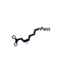 CCCCCCCC/C=C\CC([O])=O